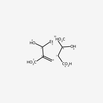 C=C(C(=O)O)C(O)CC.O=C(O)CC(O)C(=O)O